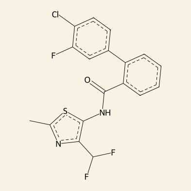 Cc1nc(C(F)F)c(NC(=O)c2ccccc2-c2ccc(Cl)c(F)c2)s1